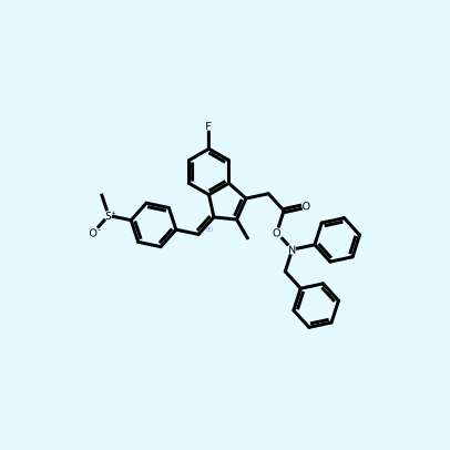 CC1=C(CC(=O)ON(Cc2ccccc2)c2ccccc2)c2cc(F)ccc2/C1=C\c1ccc([S+](C)[O-])cc1